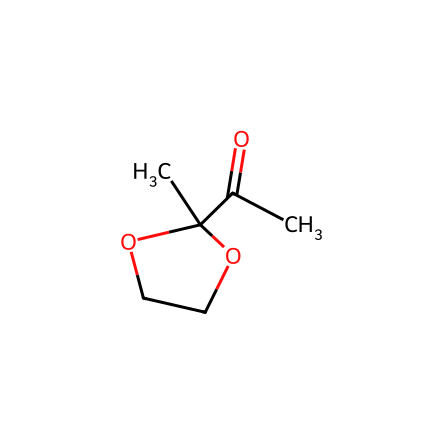 CC(=O)C1(C)OCCO1